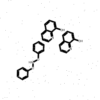 Oc1cccc2cccnc12.Oc1cccc2cccnc12.c1ccc([O][AlH][O]c2ccccc2)cc1